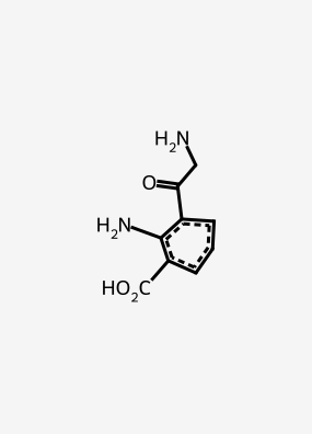 NCC(=O)c1cccc(C(=O)O)c1N